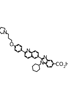 O=C(O)c1ccc2c(c1)nc(-c1ccc3nc(-c4ccc(OCCCN5CCCC5)cc4)ccc3c1)n2C1CCCCC1